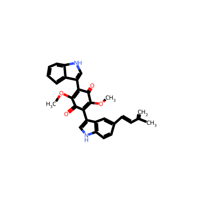 C=C(C)/C=C/c1ccc2[nH]cc(C3=C(OC)C(=O)C(c4c[nH]c5ccccc45)=C(OC)C3=O)c2c1